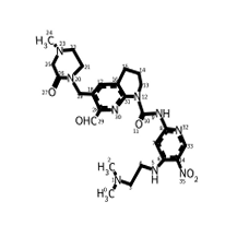 CN(C)CCNc1cc(NC(=O)N2CCCc3cc(CN4CCN(C)CC4=O)c(C=O)nc32)ncc1[N+](=O)[O-]